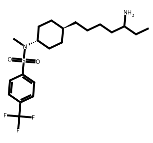 CCC(N)CCCC[C@H]1CC[C@H](N(C)S(=O)(=O)c2ccc(C(F)(F)F)cc2)CC1